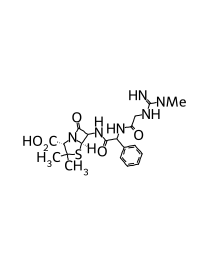 CNC(=N)NCC(=O)NC(C(=O)NC1C(=O)N2[C@@H]1SC(C)(C)[C@@H]2C(=O)O)c1ccccc1